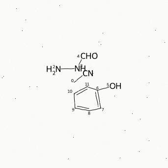 CC#N.NNC=O.Oc1ccccc1